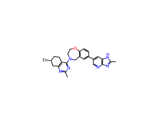 CC[C@H]1CCc2c(nc(C)nc2N2CCOc3ccc(-c4cnc5nc(C)[nH]c5c4)cc3C2)C1